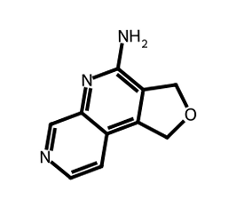 Nc1nc2cnccc2c2c1COC2